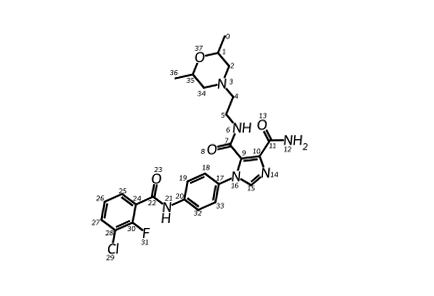 CC1CN(CCNC(=O)c2c(C(N)=O)ncn2-c2ccc(NC(=O)c3cccc(Cl)c3F)cc2)CC(C)O1